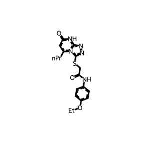 CCCc1cc(=O)[nH]c2nnc(SCC(=O)Nc3ccc(OCC)cc3)n12